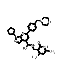 Cc1cc(C)c(CNC(O)c2cc(-c3ccc(CN4CCOCC4)cc3)nc3c2cnn3C2CCCC2)c(=O)[nH]1